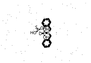 OP(O)(=S)OP(O)(O)=S(Cc1ccccc1)Cc1ccccc1